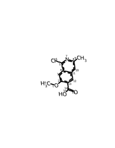 COc1cc2c(Cl)nc(C)cc2cc1C(=O)O